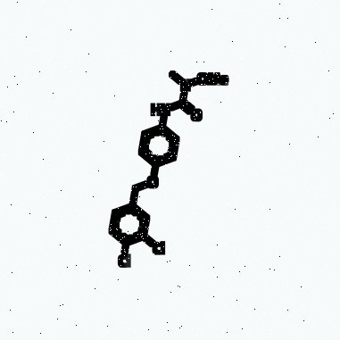 CON(C)C(=O)Nc1ccc(OCc2ccc(Cl)c(Cl)c2)cc1